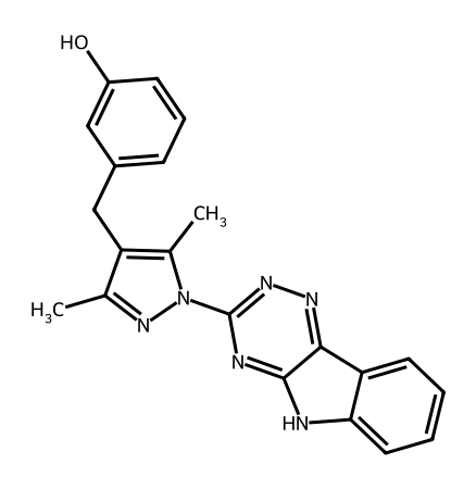 Cc1nn(-c2nnc3c(n2)[nH]c2ccccc23)c(C)c1Cc1cccc(O)c1